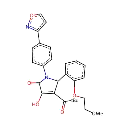 COCCOc1ccccc1C1C(C(=O)C(C)(C)C)=C(O)C(=O)N1c1ccc(-c2ccon2)cc1